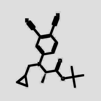 C[C@@H](C(=O)OC(C)(C)C)N(CC1CC1)c1ccc(C#N)c(C#N)c1